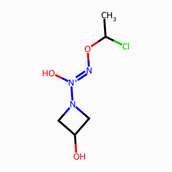 CC(Cl)O/N=[N+](\O)N1CC(O)C1